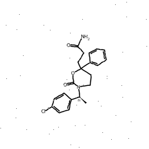 C[C@@H](c1ccc(Cl)cc1)N1CCC(CCC(N)=O)(c2ccccc2)OC1=O